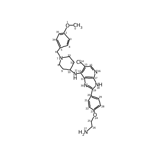 COc1ccc(CN2CCC(Nc3c(Cl)cnc4[nH]c(-c5ccc(OCCN)cc5)nc34)CC2)cc1